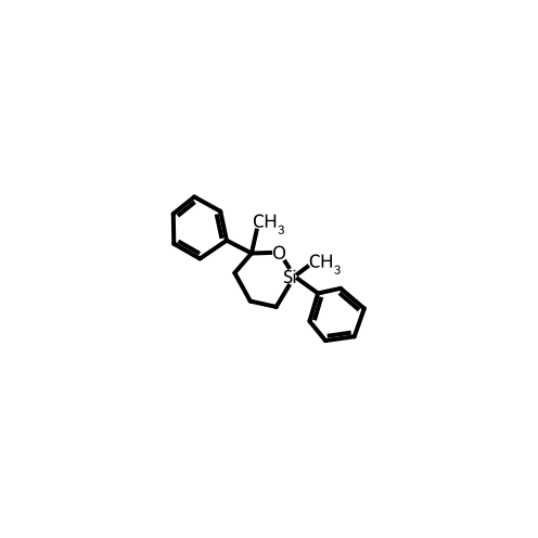 CC1(c2ccccc2)CCC[Si](C)(c2ccccc2)O1